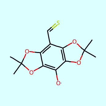 CC1(C)Oc2c([O])c3c(c(C=S)c2O1)OC(C)(C)O3